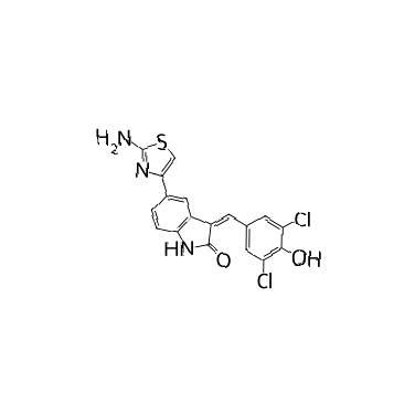 Nc1nc(-c2ccc3c(c2)C(=Cc2cc(Cl)c(O)c(Cl)c2)C(=O)N3)cs1